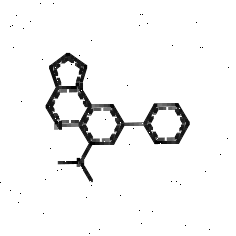 CN(C)c1cc(-c2ccccc2)cc2c1ncc1cccn12